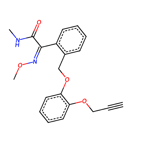 C#CCOc1ccccc1OCc1ccccc1C(=NOC)C(=O)NC